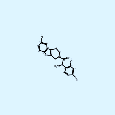 NC(C(=O)N1CCc2c([nH]c3ccc(Cl)cc23)C1)c1ccc(Cl)cc1Cl